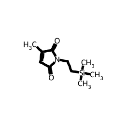 CC1=CC(=O)N(CC[Si](C)(C)C)C1=O